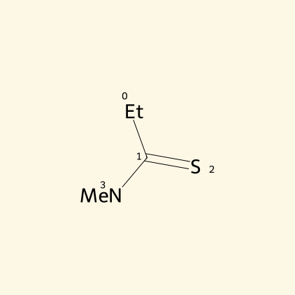 [CH2]CC(=S)NC